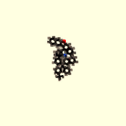 CC(C)(C)c1ccc2c(c1)C1(c3ccccc3-c3ccc(N(c4ccccc4-c4ccccc4)c4ccccc4-c4cccc5oc6cc7ccccc7cc6c45)cc31)c1cc(C(C)(C)C)ccc1-2